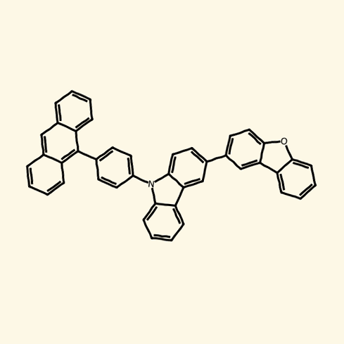 c1ccc2c(-c3ccc(-n4c5ccccc5c5cc(-c6ccc7oc8ccccc8c7c6)ccc54)cc3)c3ccccc3cc2c1